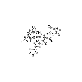 CC(C)(C)[C@H](NC(=O)C(F)(F)F)C(=O)N1CC(C2CCCC2)C[C@H]1C(=O)N[C@H](C#N)C[C@@H]1CC2(CC2)NC1=O